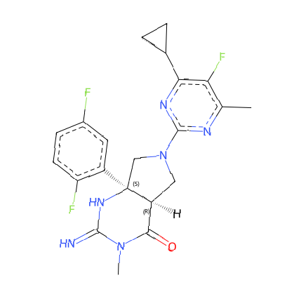 Cc1nc(N2C[C@H]3C(=O)N(C)C(=N)N[C@@]3(c3cc(F)ccc3F)C2)nc(C2CC2)c1F